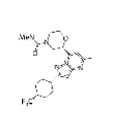 CNC(=O)N1CCO[C@@H](c2cc(C)nc3cc([C@H]4CC[C@H](C(F)(F)F)CC4)nn23)C1